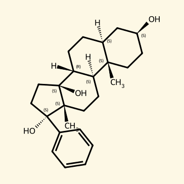 C[C@]12CC[C@H](O)C[C@@H]1CC[C@@H]1[C@@H]2CC[C@]2(C)[C@@](O)(c3ccccc3)CC[C@]12O